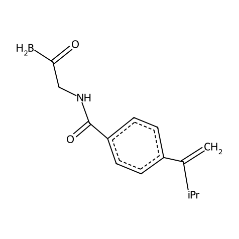 BC(=O)CNC(=O)c1ccc(C(=C)C(C)C)cc1